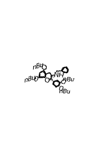 CCCCOc1cc(OCCCC)c2c(c1)O[C@H](c1ccc(OCCCC)c(OCCCC)c1)[C@H](NCc1ccccc1)C2